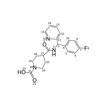 O=C(NC(c1ccc(F)cc1)c1ccccn1)C1CCN(C(=O)O)CC1